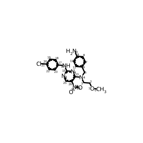 COCCN(Cc1ccc(N)cc1)c1nc(Nc2ccc(Cl)cc2)ncc1[N+](=O)[O-]